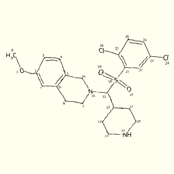 COc1ccc2c(c1)CCN(C(C1CCNCC1)S(=O)(=O)c1cc(Cl)ccc1Cl)C2